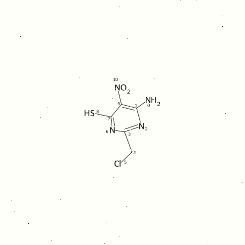 Nc1nc(CCl)nc(S)c1[N+](=O)[O-]